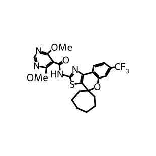 COc1ncnc(OC)c1C(=O)Nc1nc2c(s1)C1(CCCCCC1)Oc1cc(C(F)(F)F)ccc1-2